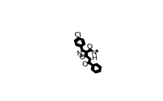 CNC(=O)c1c(-c2ccc(Cl)cc2)noc1CC(=O)c1ccccc1